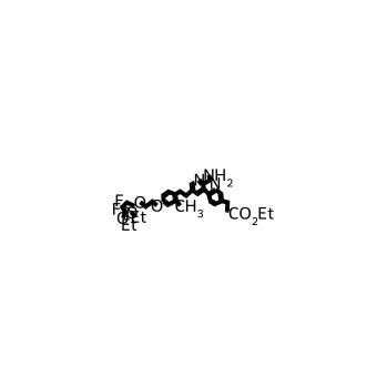 CCOC(=O)CCc1ccc2c(c1)nc(N)c1ncc(CCc3ccc(OCCOCCC(F)(F)P(OCC)OCC)cc3C)cc12